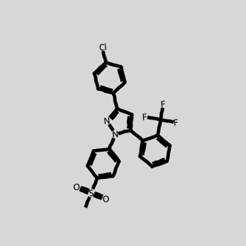 CS(=O)(=O)c1ccc(-n2nc(-c3ccc(Cl)cc3)cc2-c2ccccc2C(F)(F)F)cc1